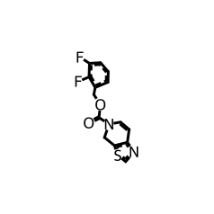 O=C(OCc1cccc(F)c1F)N1C=Cc2ncsc2C1